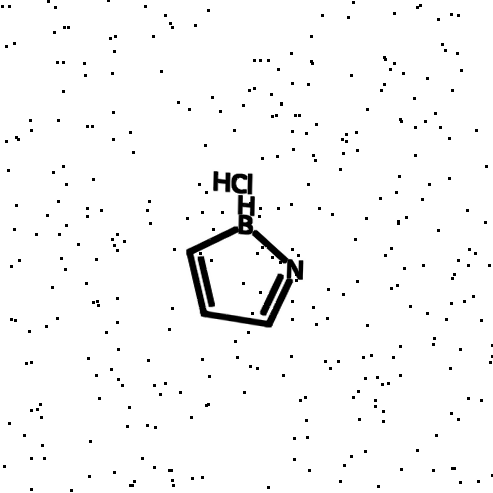 B1C=CC=N1.Cl